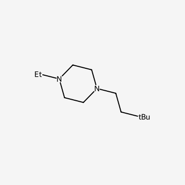 CCN1CCN(CCC(C)(C)C)CC1